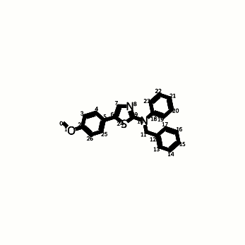 COc1ccc(-c2cnc(N(Cc3ccccc3)c3ccccc3)s2)cc1